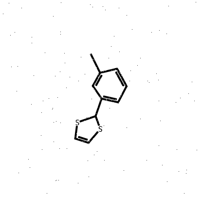 Cc1cccc(C2SC=CS2)c1